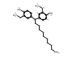 CCCCCCCCCCC(c1ccc(O)c(CC)c1)c1ccc(O)c(CC)c1